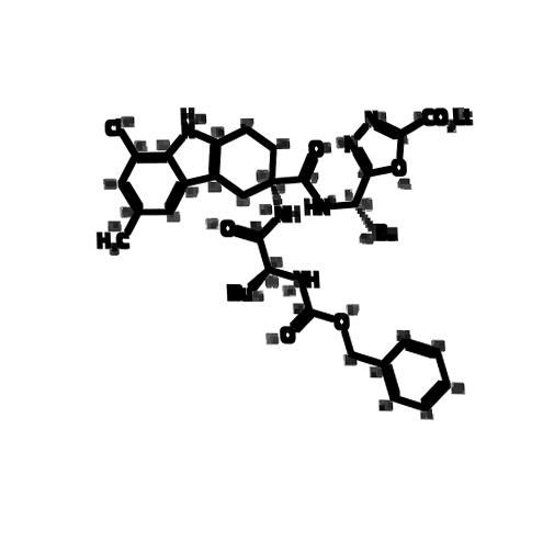 CCOC(=O)c1nnc([C@@H](NC(=O)[C@]2(NC(=O)[C@@H](NC(=O)OCc3ccccc3)C(C)CC)CCc3[nH]c4c(Cl)cc(C)cc4c3C2)C(C)CC)o1